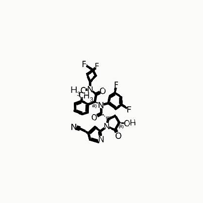 Cc1ccccc1[C@H](C(=O)N(C)C1CC(F)(F)C1)N(C(=O)[C@@H]1C[C@@H](O)C(=O)N1c1cc(C#N)ccn1)c1cc(F)cc(F)c1